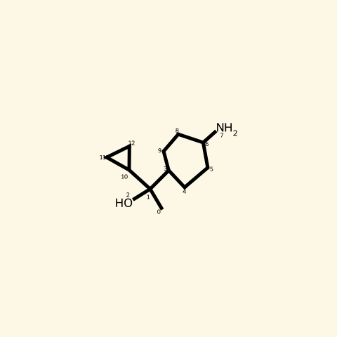 CC(O)(C1CCC(N)CC1)C1CC1